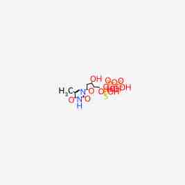 Cc1cn(C2CC(O)C(COP(O)(=S)OP(=O)(O)OP(=O)(O)O)O2)c(=O)[nH]c1=O